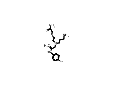 C=C(CN(CCCN)CCOCC(N)=O)Nc1ccc(CC)cc1